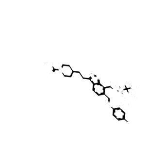 CC(C)(C)[Si](C)(C)OCc1c(COc2ccc(F)cc2)ccc2c(CCC3CCN(C(=O)O)CC3)noc12